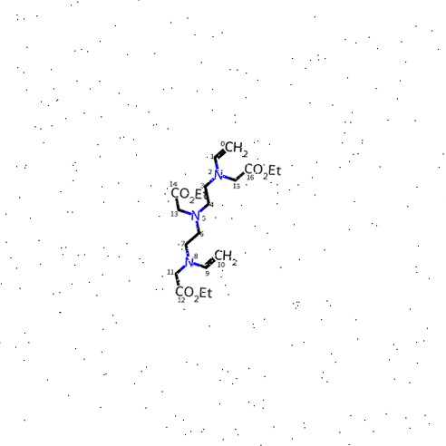 C=CN(CCN(CCN(C=C)CC(=O)OCC)CC(=O)OCC)CC(=O)OCC